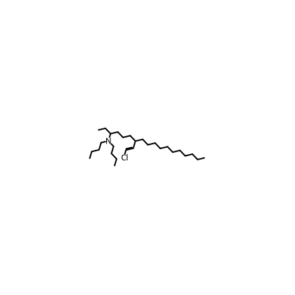 CCCCCCCCCCCC(C=CCl)CCCC(CC)N(CCCC)CCCC